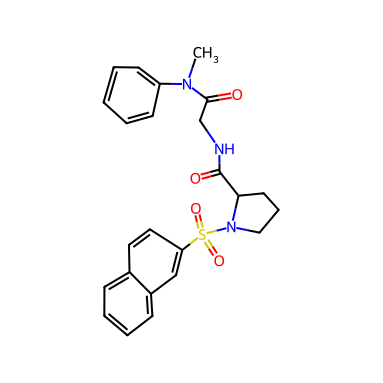 CN(C(=O)CNC(=O)C1CCCN1S(=O)(=O)c1ccc2ccccc2c1)c1ccccc1